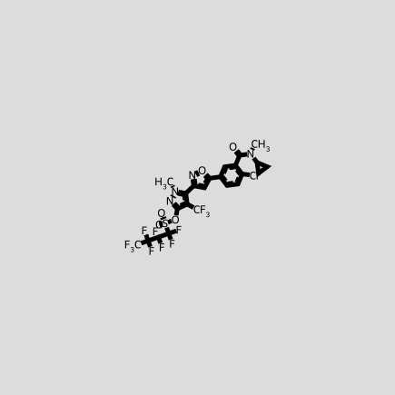 CN(C(=O)c1cc(-c2cc(-c3c(C(F)(F)F)c(OS(=O)(=O)C(F)(F)C(F)(F)C(F)(F)C(F)(F)F)nn3C)no2)ccc1Cl)C1CC1